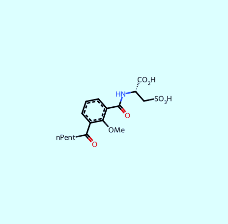 CCCCCC(=O)c1cccc(C(=O)N[C@@H](CS(=O)(=O)O)C(=O)O)c1OC